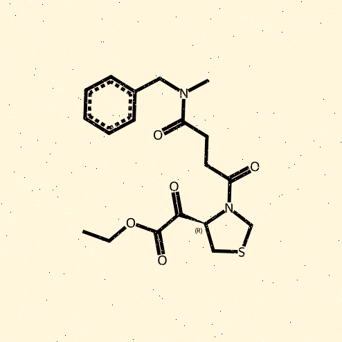 CCOC(=O)C(=O)[C@@H]1CSCN1C(=O)CCC(=O)N(C)Cc1ccccc1